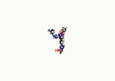 Cc1ccc(S(=O)(=O)n2cc(-c3cnn(Cc4cccc(F)c4)c3)c3cc(-c4ccc(N5CCN(CC(C)O)CC5)cc4)cnc32)cc1